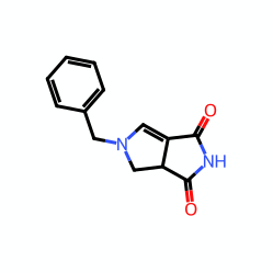 O=C1NC(=O)C2CN(Cc3ccccc3)C=C12